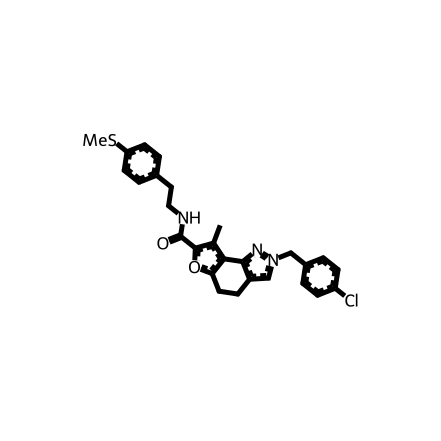 CSc1ccc(CCNC(=O)c2oc3c(c2C)-c2nn(Cc4ccc(Cl)cc4)cc2CC3)cc1